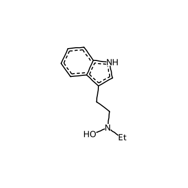 CCN(O)CCc1c[nH]c2ccccc12